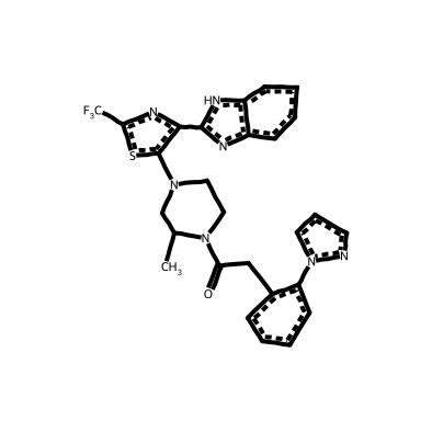 CC1CN(c2sc(C(F)(F)F)nc2-c2nc3ccccc3[nH]2)CCN1C(=O)Cc1ccccc1-n1cccn1